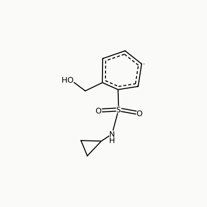 O=S(=O)(NC1CC1)c1c[c]ccc1CO